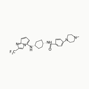 CN1CCN(c2ccc(C(=O)N[C@H]3CC[C@@H](Nc4cccc5nc(C(F)(F)F)cn45)CC3)cc2)CC1